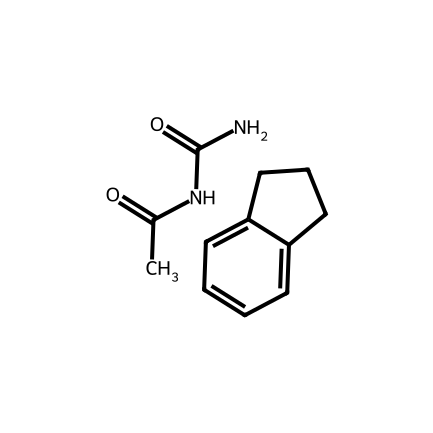 CC(=O)NC(N)=O.c1ccc2c(c1)CCC2